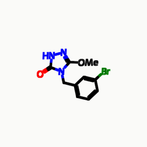 COc1n[nH]c(=O)n1Cc1cccc(Br)c1